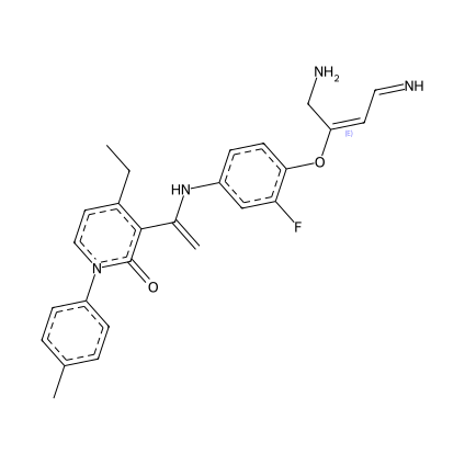 C=C(Nc1ccc(O/C(=C/C=N)CN)c(F)c1)c1c(CC)ccn(-c2ccc(C)cc2)c1=O